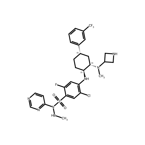 CBN(c1ccncn1)S(=O)(=O)c1cc(Cl)c(N[C@H]2CC[C@H](c3cccc(C(F)(F)F)c3)C[C@@H]2N(C)C2CNC2)cc1F